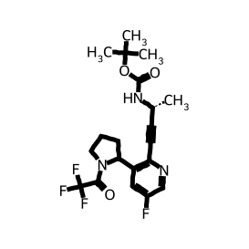 C[C@H](C#Cc1ncc(F)cc1C1CCCN1C(=O)C(F)(F)F)NC(=O)OC(C)(C)C